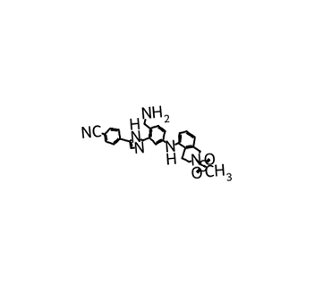 CS(=O)(=O)N1CCc2c(cccc2Nc2ccc(CN)c(-c3ncc(-c4ccc(C#N)cc4)[nH]3)c2)C1